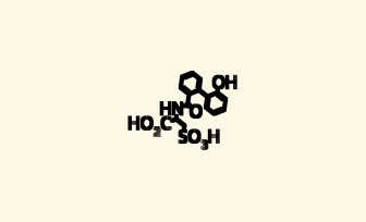 O=C(NC(CS(=O)(=O)O)C(=O)O)c1ccccc1-c1ccccc1O